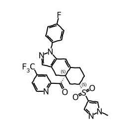 Cn1cc(S(=O)(=O)[C@H]2CCC3=Cc4c(cnn4-c4ccc(F)cc4)C[C@]3(C(=O)c3cc(C(F)(F)F)ccn3)C2)cn1